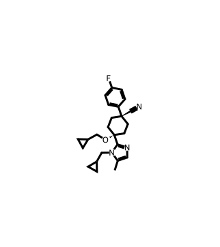 Cc1cnc([C@]2(OCC3CC3)CC[C@@](C#N)(c3ccc(F)cc3)CC2)n1CC1CC1